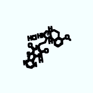 COc1cccc2c1CC[C@H]1CNC(CCn3c(=O)[nH]c4c(sc5nccnc54)c3=O)[C@@H]21.Cl